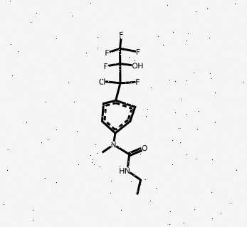 CCNC(=O)N(C)c1ccc(C(F)(Cl)C(O)(F)C(F)(F)F)cc1